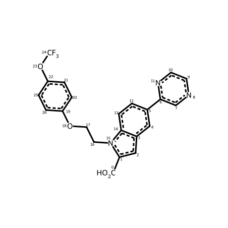 O=C(O)c1cc2cc(-c3cnccn3)ccc2n1CCOc1ccc(OC(F)(F)F)cc1